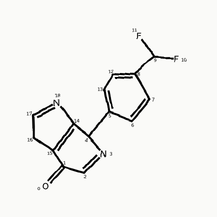 O=C1C=NC(c2ccc(C(F)F)cc2)C2=C1CC=N2